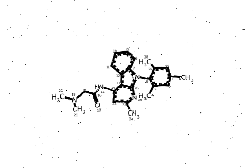 Cc1cc(C)c(-n2c3ccccc3c3c(NC(=O)CN(C)C)cc(C)nc32)c(C)c1